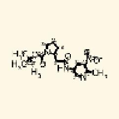 Cc1ncc(NC(=O)CC2CCCN2C(=O)OC(C)(C)C)cc1[N+](=O)[O-]